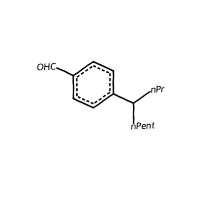 CCCCCC(CCC)c1ccc(C=O)cc1